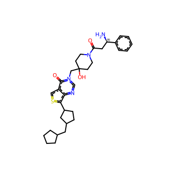 N[C@H](CC(=O)N1CCC(O)(Cn2cnc3c(C4CCC(CC5CCCC5)C4)scc3c2=O)CC1)c1ccccc1